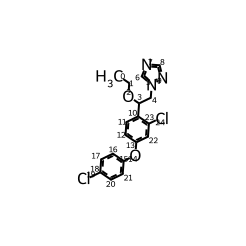 CCOC(Cn1cncn1)c1ccc(Oc2ccc(Cl)cc2)cc1Cl